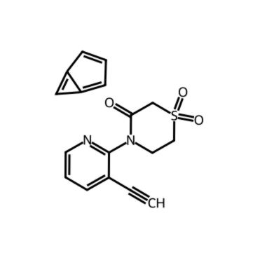 C#Cc1cccnc1N1CCS(=O)(=O)CC1=O.c1cc2cc-2c1